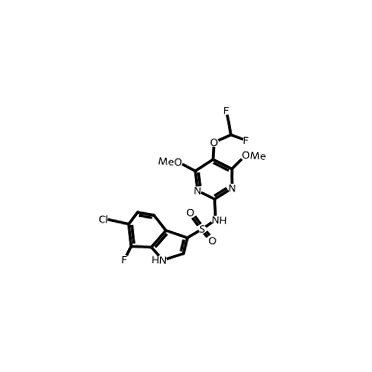 COc1nc(NS(=O)(=O)c2c[nH]c3c(F)c(Cl)ccc23)nc(OC)c1OC(F)F